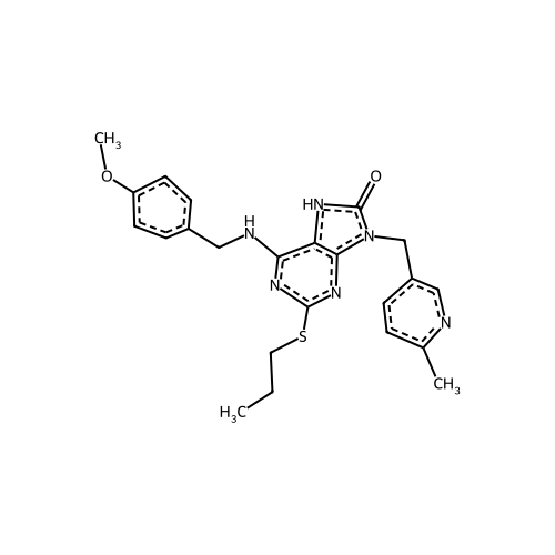 CCCSc1nc(NCc2ccc(OC)cc2)c2[nH]c(=O)n(Cc3ccc(C)nc3)c2n1